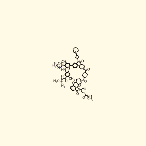 C/N=C\N(c1ccc(-c2ccc3c(c2)N(C2CC(N4CCCCC4)C2)C(=O)C32CCN(C(=O)C3CCC(C(=O)N4CCC(Oc5cccc6c5C(=O)N(C(C=O)CCC(=O)NC)C6=O)CC4)CC3)CC2)nc1Nc1cc(C(=O)NC(C)C)c(C)cc1F)C(C)C